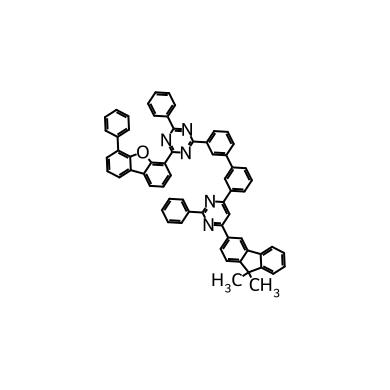 CC1(C)c2ccccc2-c2cc(-c3cc(-c4cccc(-c5cccc(-c6nc(-c7ccccc7)nc(-c7cccc8c7oc7c(-c9ccccc9)cccc78)n6)c5)c4)nc(-c4ccccc4)n3)ccc21